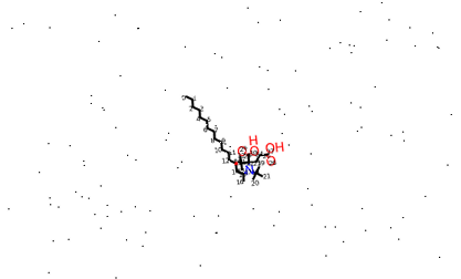 CCCCCCCCCCCCCCCC(C)N(C(C)(C)C)[C@@](CCC(=O)O)(C(=O)O)C(C)(C)C